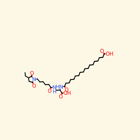 CCC1CC(=O)N(CCCCCC(=O)NCC(NC(=O)CCCCCCCCCCCCCCCCC(=O)O)C(=O)O)C1=O